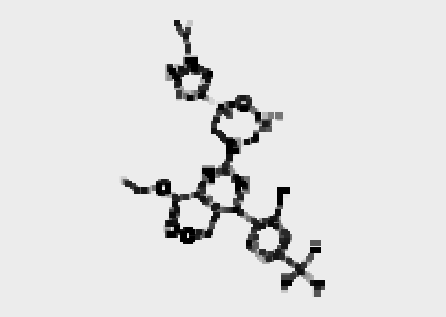 CCOC(=O)c1nc(N2C[C@@H](C)O[C@@H](c3cnn(C4CC4)c3)C2)nc(-c2ccc(C(F)(F)F)cc2F)c1C=O